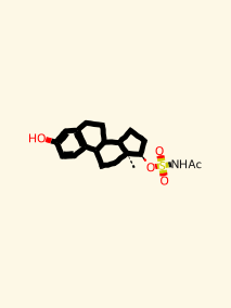 CC(=O)NS(=O)(=O)O[C@H]1CCC2C3CCc4cc(O)ccc4C3CC[C@@]21C